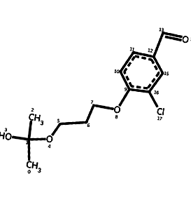 CC(C)(O)OCCCOc1ccc(C=O)cc1Cl